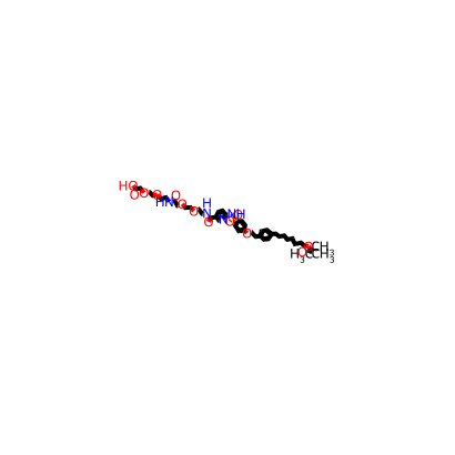 CC(C)(C)OC(=O)CCCCCCCc1ccc(CCOc2ccc(S(=O)(=O)Nc3ccc(C(=O)NCCOCCOCC(=O)NCCOCCOCC(=O)O)cn3)cc2)cc1